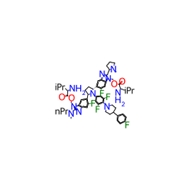 CCCN(C)c1nc2cc(F)c(C3CC[C@H](c4cc5nc(C6CCCN6C)n(COC(=O)C(N)C(C)C)c5cc4F)N3c3cc(F)c(N4CCC(c5ccc(F)cc5)CC4)c(F)c3)cc2n1COC(=O)C(N)C(C)C